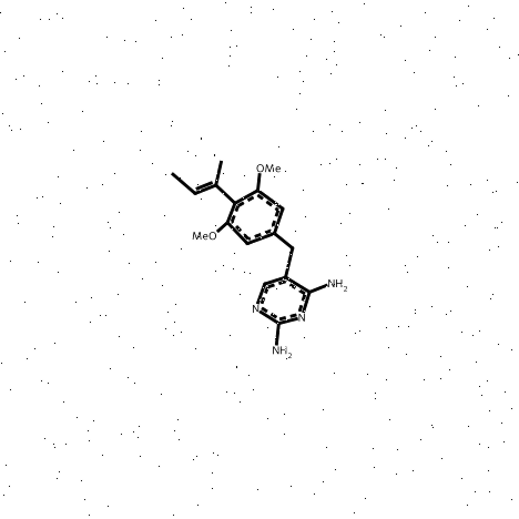 CC=C(C)c1c(OC)cc(Cc2cnc(N)nc2N)cc1OC